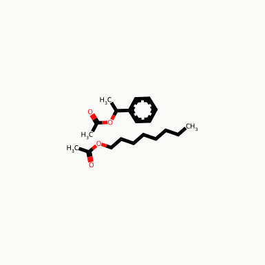 CC(=O)OC(C)c1ccccc1.CCCCCCCCOC(C)=O